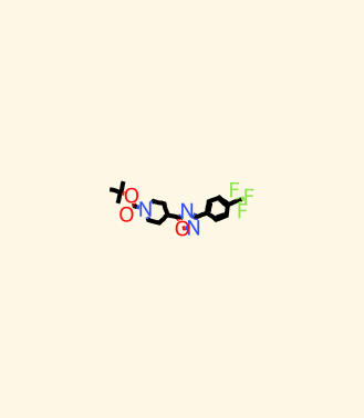 CC(C)(C)OC(=O)N1CCC(c2nc(-c3ccc(C(F)(F)F)cc3)no2)CC1